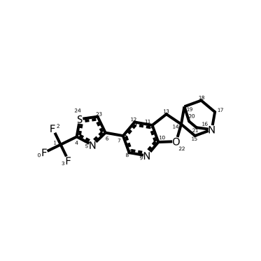 FC(F)(F)c1nc(-c2cnc3c(c2)CC2(CN4CCC2CC4)O3)cs1